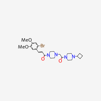 COc1cc(Br)c(/C=C/C(=O)N2CCN(CC(=O)N3CCN(C4CCC4)CC3)CC2)cc1OC